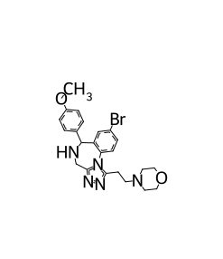 COc1ccc(C2NCc3nnc(CCN4CCOCC4)n3-c3ccc(Br)cc32)cc1